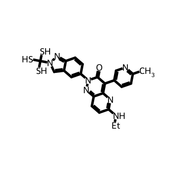 CCNc1ccc2nn(-c3ccc4nn(C(S)(S)S)cc4c3)c(=O)c(-c3ccc(C)nc3)c2n1